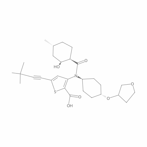 C[C@@H]1CC[C@@H](C(=O)N(c2cc(C#CC(C)(C)C)sc2C(=O)O)[C@H]2CC[C@H](OC3CCOC3)CC2)[C@@H](O)C1